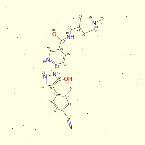 Cc1cc(C#N)ccc1-c1cnn(-c2ccc(C(=O)NCC3CCN(C)CC3)cn2)c1O